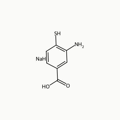 Nc1cc(C(=O)O)ccc1S.[NaH]